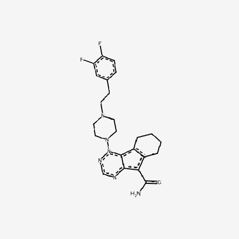 NC(=O)c1c2ncnn(N3CCN(CCc4ccc(F)c(F)c4)CC3)c-2c2c1CCCC2